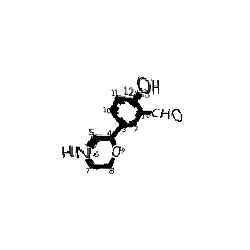 O=Cc1cc(C2CNCCO2)ccc1O